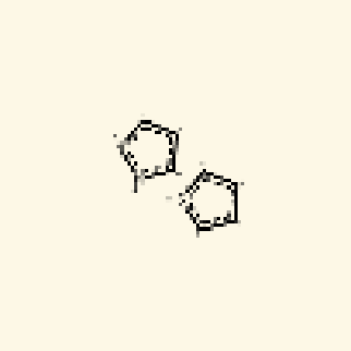 [c]1cc[nH]n1.c1ccsc1